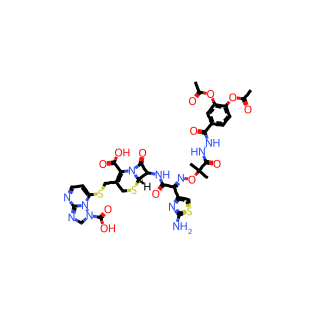 CC(=O)Oc1ccc(C(=O)NNC(=O)C(C)(C)ON=C(C(=O)NC2C(=O)N3C(C(=O)O)=C(CSC4=CC=NC5=NCN(C(=O)O)N45)CS[C@@H]23)c2csc(N)n2)cc1OC(C)=O